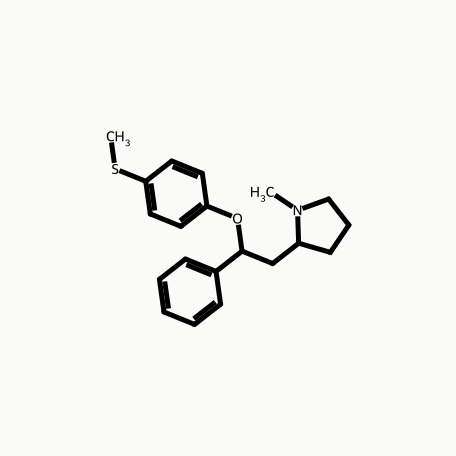 CSc1ccc(OC(CC2CCCN2C)c2ccccc2)cc1